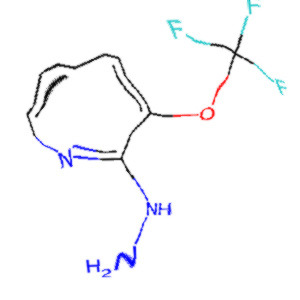 NNc1ncccc1OC(F)(F)F